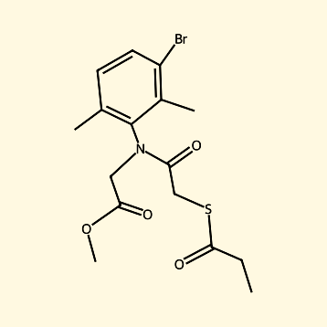 CCC(=O)SCC(=O)N(CC(=O)OC)c1c(C)ccc(Br)c1C